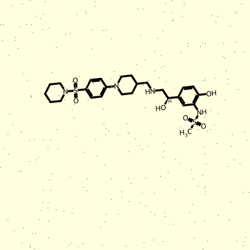 CS(=O)(=O)Nc1cc([C@@H](O)CNCC2CCN(c3ccc(S(=O)(=O)N4CCCCC4)cc3)CC2)ccc1O